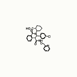 O=C(O)C1CCCCC1N1C(=O)c2ccccc2C(C(=O)NOCc2ccccn2)C1c1ccc(Cl)cc1